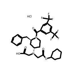 Cl.O=C(O)CN(CC(=O)OC1CCCCC1)[C@H]1CCN(C(=O)c2cc(C(F)(F)F)cc(C(F)(F)F)c2)[C@H](Cc2ccccc2)C1